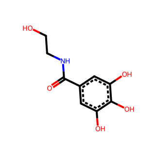 O=C(NCCO)c1cc(O)c(O)c(O)c1